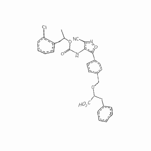 CC(OC(=O)Nc1c(C#N)noc1-c1ccc(COC(Cc2ccccc2)C(=O)O)cc1)c1ccccc1Cl